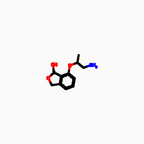 CC(CN)Oc1cccc2c1B(O)OC2